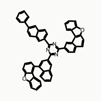 c1ccc(-c2ccc3cc(-c4nc(-c5cc(-c6cccc7oc8ccccc8c67)c6ccccc6c5)nc(-c5ccc6ccc7oc8ccccc8c7c6c5)n4)ccc3c2)cc1